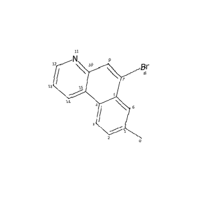 Cc1ccc2c(c1)c(Br)cc1ncccc12